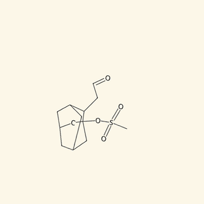 CS(=O)(=O)OC12CC3CC(CC(C3)C1CC=O)C2